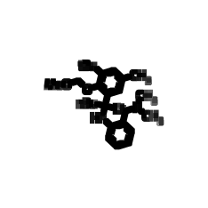 CCCCC(CC)(Pc1ccccc1CN(C)C)c1cc(C)cc(C(C)(C)C)c1OCOC